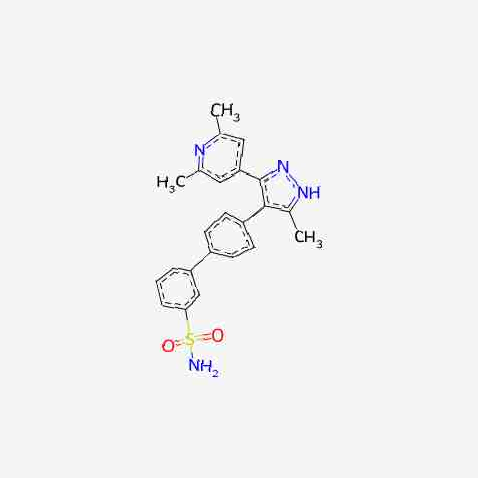 Cc1cc(-c2n[nH]c(C)c2-c2ccc(-c3cccc(S(N)(=O)=O)c3)cc2)cc(C)n1